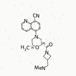 CNCC1CN(C(=O)[C@H]2CN(c3ccc(C#N)c4ncccc34)C[C@@H](C)O2)C1